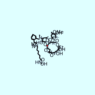 CC[C@H]1OC(=O)[C@H](C)[C@@H](O[C@H]2C[C@@](C)(OC)[C@@H](O)[C@H](C)O2)[C@H](C)[C@@H](O[C@@H]2O[C@H](C)C[C@H](N(C)Cc3ccccc3-c3cn(CCCCCCC(=O)NO)nn3)[C@H]2O)[C@@]2(C)C[C@@H](CO2)C(=O)[C@H](C)[C@@H](O)[C@]1(C)O